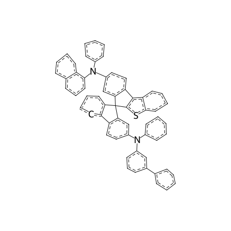 c1ccc(-c2cccc(N(c3ccccc3)c3ccc4c(c3)C3(c5ccccc5-4)c4cc(N(c5ccccc5)c5cccc6ccccc56)ccc4-c4c3sc3ccccc43)c2)cc1